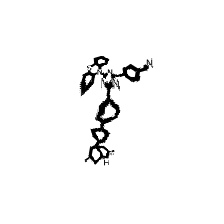 C[C@@H]1C[C@@H]2C[C@H](C)CC(c3ccc(-c4ccc(-c5nc(-c6ccc(C#N)cc6)nc(N6c7ccccc7Sc7ccccc76)n5)cc4)cc3)(C1)C2